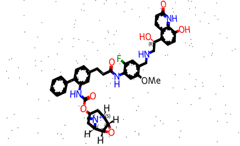 COc1cc(NC(=O)CCc2ccc(-c3ccccc3)c(NC(=O)OC3C[C@@H]4[C@H]5O[C@H]5[C@H](C3)[N+]4(C)C)c2)c(F)cc1CNC[C@H](O)c1ccc(O)c2[nH]c(=O)ccc12